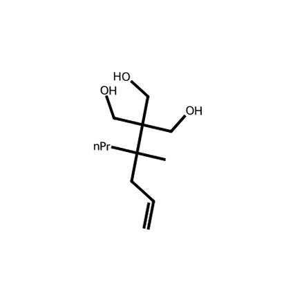 C=CCC(C)(CCC)C(CO)(CO)CO